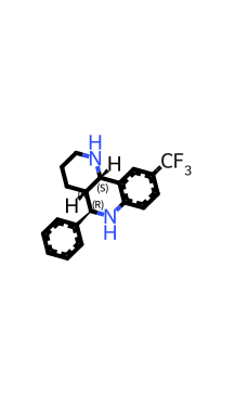 FC(F)(F)c1ccc2c(c1)[C@H]1NCCC[C@H]1[C@H](c1ccccc1)N2